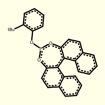 CC(C)(C)c1ccccc1Op1oc2ccc3ccccc3c2c2c(ccc3ccccc32)o1